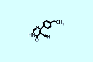 CCc1ccc(-c2nc[nH]c(=O)c2C#N)cc1